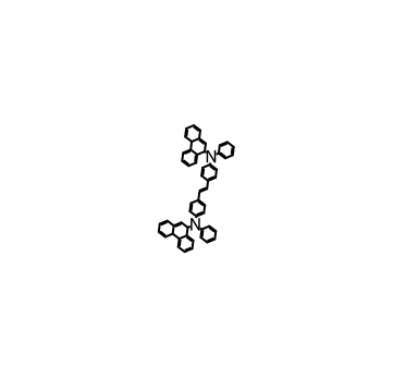 C1=CC2=CC(N(c3ccccc3)c3ccc(C=Cc4ccc(N(c5ccccc5)C5C=C6C=CC=CC6c6ccccc65)cc4)cc3)c3ccccc3C2C=C1